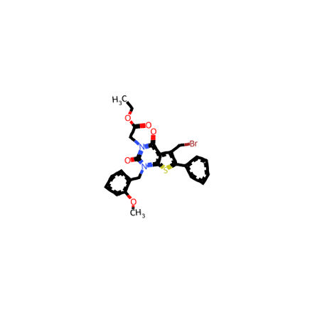 CCOC(=O)Cn1c(=O)c2c(CBr)c(-c3ccccc3)sc2n(Cc2ccccc2OC)c1=O